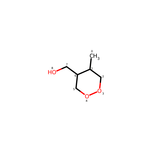 CC1COOCC1CO